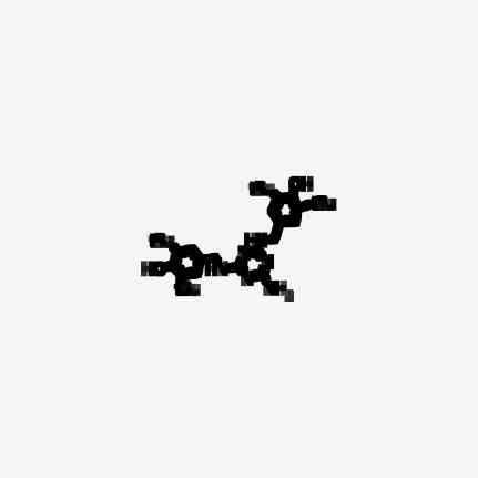 CC(C)(C)c1cc(CNc2nc(N)nc(NCc3cc(C(C)(C)C)c(O)c(C(C)(C)C)c3)n2)cc(C(C)(C)C)c1O